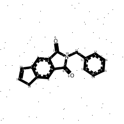 O=C1c2cc3c(cc2C(=O)N1Cc1ccccc1)CC=C3